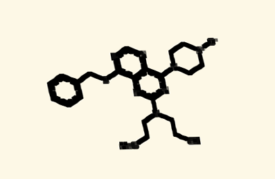 COCCN(CCO)c1nc(N2CC[S+]([O-])CC2)c2ncnc(SCc3ccccc3)c2n1